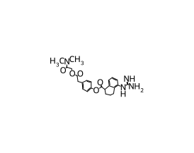 CN(C)C(=O)COC(=O)Cc1ccc(OC(=O)C2CCCc3c(NC(=N)N)cccc32)cc1